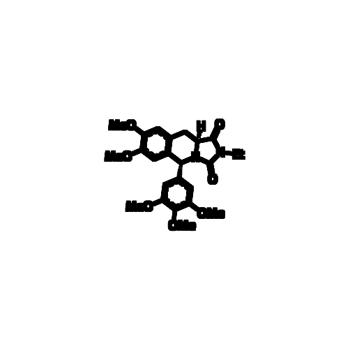 CCN1C(=O)[C@@H]2Cc3cc(OC)c(OC)cc3[C@@H](c3cc(OC)c(OC)c(OC)c3)N2C1=O